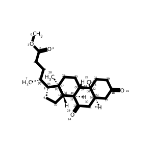 COC(=O)CC[C@@H](C)[C@H]1CC[C@H]2[C@@H]3C(=O)C[C@@H]4CC(=O)CC[C@]4(C)[C@H]3CC[C@]12C